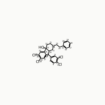 O=C(c1ccc(Cl)c(Cl)c1)C1CN(CCc2ccccc2)CCC1(O)c1ccc(Cl)c(Cl)c1